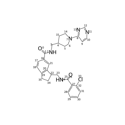 O=C(NCC1CCN(c2ccncn2)CC1)c1ccc2c(c1)C(CNC(=O)c1ccccc1Cl)CC2